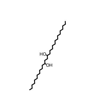 CCCCCCCCCCCCCCC(O)CCC(O)CCCCCCCCCCC